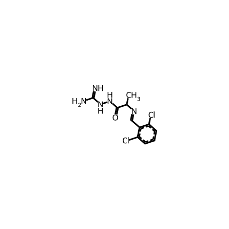 CC(N=Cc1c(Cl)cccc1Cl)C(=O)NNC(=N)N